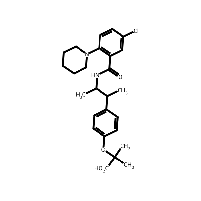 CC(NC(=O)c1cc(Cl)ccc1N1CCCCC1)C(C)c1ccc(OC(C)(C)C(=O)O)cc1